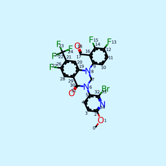 COc1ccc(N2CN(c3ccc(F)c(F)c3C=O)c3cc(C(F)(F)F)c(F)cc3C2=O)c(Br)n1